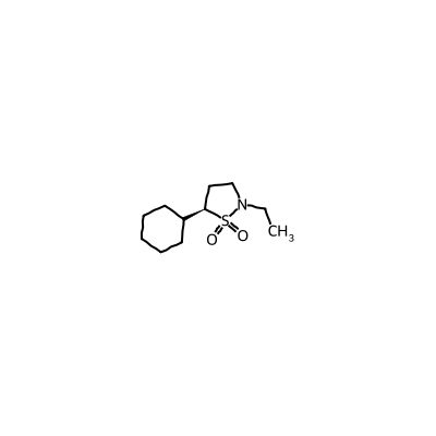 CCN1CC[C@H](C2CCCCC2)S1(=O)=O